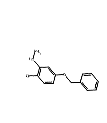 NNc1cc(OCc2ccccc2)ccc1Cl